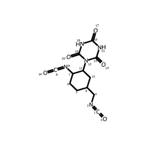 O=C=NCC1CCC(N=C=O)C(n2c(=O)[nH]c(=O)[nH]c2=O)C1